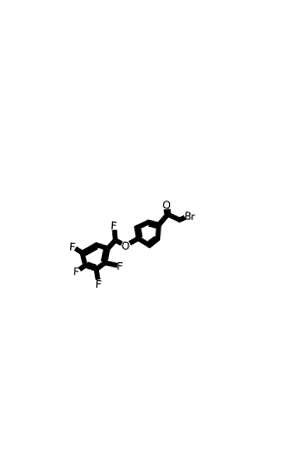 O=C(CBr)c1ccc(OC(F)c2cc(F)c(F)c(F)c2F)cc1